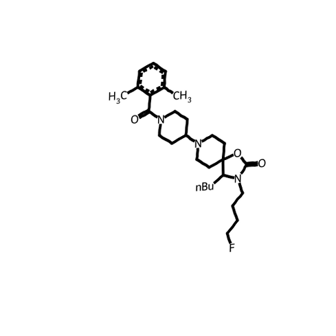 CCCCC1N(CCCCF)C(=O)OC12CCN(C1CCN(C(=O)c3c(C)cccc3C)CC1)CC2